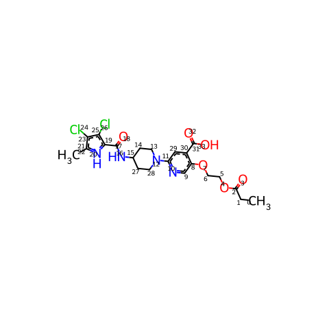 CCC(=O)OCCOc1cnc(N2CCC(NC(=O)c3[nH]c(C)c(Cl)c3Cl)CC2)cc1C(=O)O